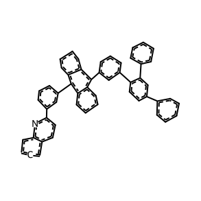 c1ccc(-c2ccc(-c3cccc(-c4c5ccccc5c(-c5cccc(-c6ccc7ccccc7n6)c5)c5ccccc45)c3)c(-c3ccccc3)c2)cc1